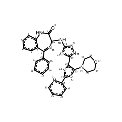 O=C1Nc2ccccc2C(c2ccccc2)=NC1Nc1nnc(-c2nc(-c3ccccn3)sc2N2CCOCC2)o1